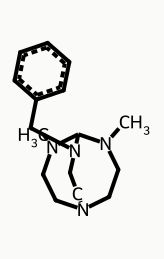 CN1CCN2CCN(C)C1N(Cc1ccccc1)CC2